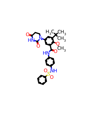 COc1c(C(=O)Nc2ccc(NS(=O)(=O)c3ccccc3)cc2)cc(N2CCC(=O)NC2=O)cc1C(C)(C)C